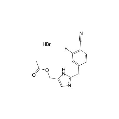 Br.CC(=O)OCc1cnc(Cc2ccc(C#N)c(F)c2)[nH]1